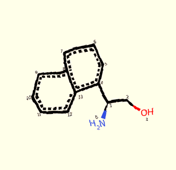 N[C@H](CO)c1cccc2ccccc12